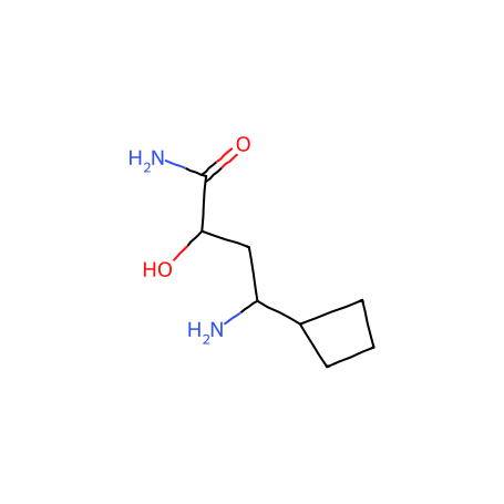 NC(=O)C(O)CC(N)C1CCC1